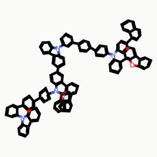 c1cc(-c2ccc(-c3ccc(N(c4ccc(-c5cccc6ccccc56)cc4)c4ccccc4-c4cccc5c4oc4ccccc45)cc3)cc2)cc(-n2c3ccccc3c3cc(-c4ccc(N(c5ccc(-c6ccc(-c7ccccc7-n7c8ccccc8c8ccccc87)cc6)cc5)c5cccc6ccccc56)c(-c5cccc6c5oc5ccccc56)c4)ccc32)c1